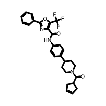 O=C(Nc1ccc(C2CCN(C(=O)C3CC=CC3)CC2)cc1)c1nc(-c2ccccc2)oc1C(F)(F)F